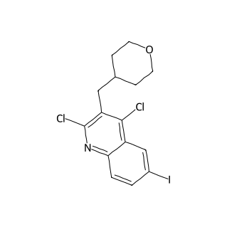 Clc1nc2ccc(I)cc2c(Cl)c1CC1CCOCC1